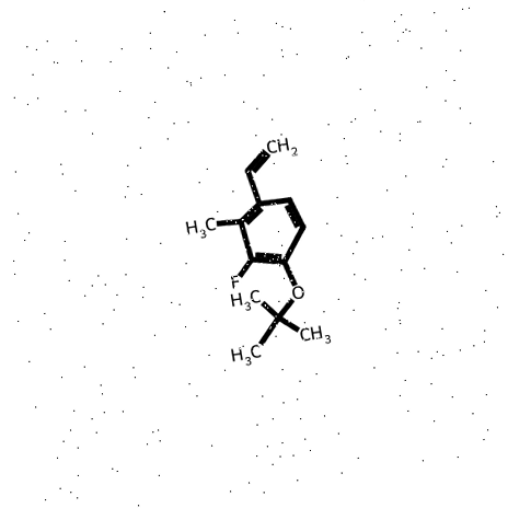 C=Cc1ccc(OC(C)(C)C)c(F)c1C